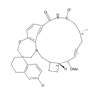 COC1/C=C/C[C@@H](C)C[S+]([O-])NC(=O)c2ccc3c(c2)N(CC2CC[C@H]21)CC1(CCCc2cc(Cl)ccc21)CO3